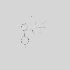 COc1ccc(-c2ocnc2C(=O)N2[C@H](CN)C[C@@H]3C[C@@H]32)cc1